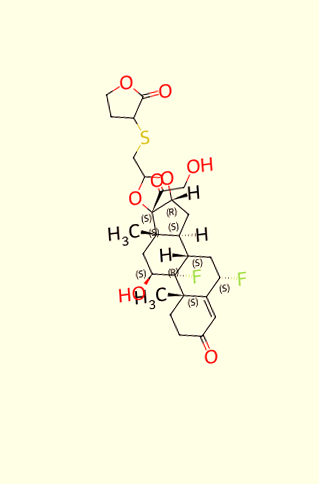 C[C@]12CCC(=O)C=C1[C@@H](F)C[C@H]1[C@@H]3C[C@H]4OC(CSC5CCOC5=O)O[C@@]4(C(=O)CO)[C@@]3(C)C[C@H](O)[C@@]12F